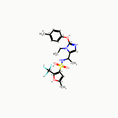 CCn1c(C(C)NS(=O)(=O)c2cc(C)oc2C(F)(F)F)cnc1Oc1ccc(C)cc1